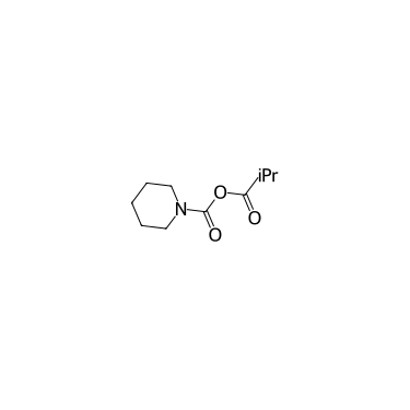 CC(C)C(=O)OC(=O)N1CCCCC1